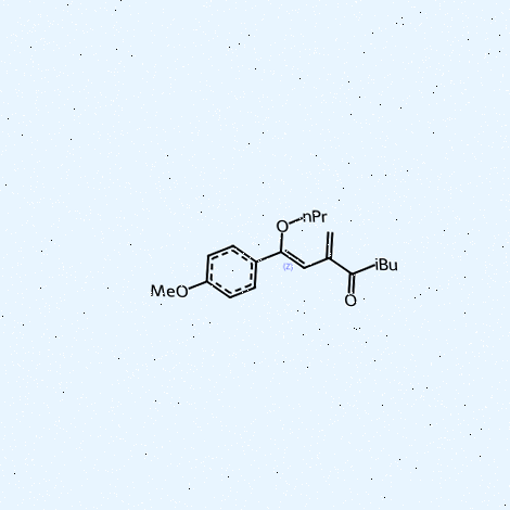 C=C(/C=C(\OCCC)c1ccc(OC)cc1)C(=O)C(C)CC